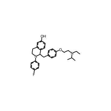 CCN(CCOc1ccc(CC2c3ccc(O)cc3CCN2c2ccc(F)cc2)cc1)C(C)C